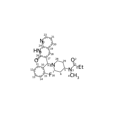 CCC(=O)N(C)C1CCN(C(c2ccccc2F)c2cc3cccnc3[nH]c2=O)CC1